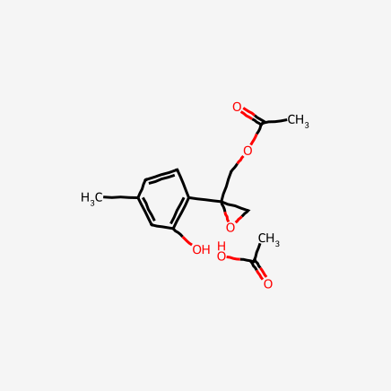 CC(=O)O.CC(=O)OCC1(c2ccc(C)cc2O)CO1